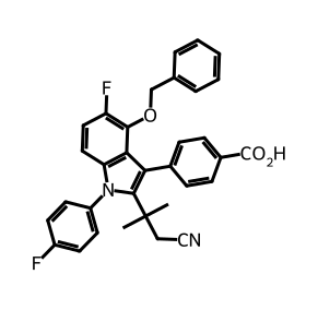 CC(C)(CC#N)c1c(-c2ccc(C(=O)O)cc2)c2c(OCc3ccccc3)c(F)ccc2n1-c1ccc(F)cc1